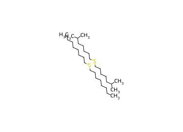 CC(C)CCCCCSCCCCCC(C)C.CCCCCCCCSCCCCCCCC